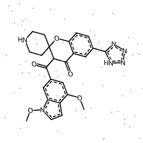 COc1cc(C(=O)C2C(=O)c3cc(-c4nnn[nH]4)ccc3OC23CCNCC3)cc2c1ccn2OC